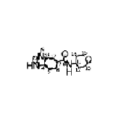 CN1ONc2ccc(C(=O)NC3CCOCC3)cc21